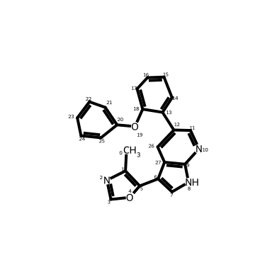 Cc1ncoc1-c1c[nH]c2ncc(-c3ccccc3Oc3ccccc3)cc12